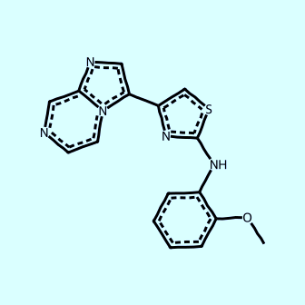 COc1ccccc1Nc1nc(-c2cnc3cnccn23)cs1